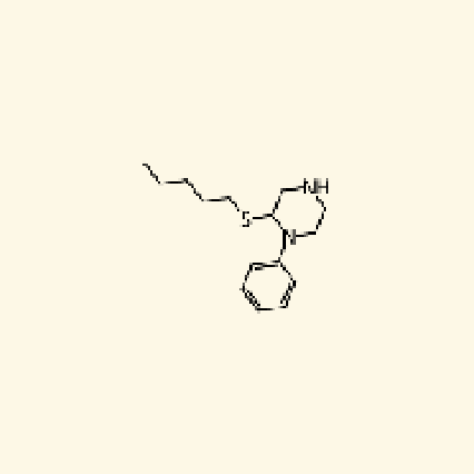 CCCCCSC1CNCCN1c1ccccc1